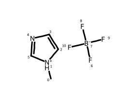 C[NH+]1C=CN=C1.F[B-](F)(F)F